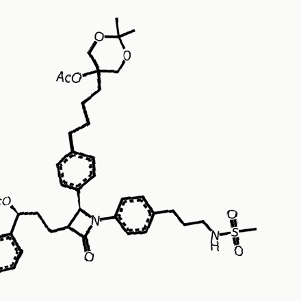 CC(=O)O[C@@H](CCC1C(=O)N(c2ccc(CCCNS(C)(=O)=O)cc2)[C@@H]1c1ccc(CCCCC2(OC(C)=O)COC(C)(C)OC2)cc1)c1ccc(F)cc1